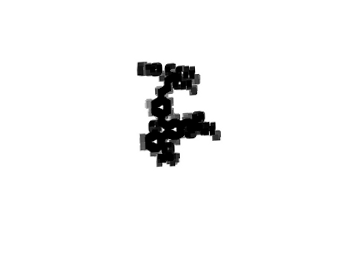 CCOC(=O)C(C)(C)CCCc1ccc(C2Oc3cccc(OC(F)F)c3-c3ccc(CS(N)(=O)=O)cc32)cc1